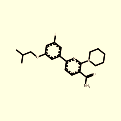 CC(C)COc1cc(F)cc(-c2ccc(C(N)=O)c(N3CCCCC3)n2)c1